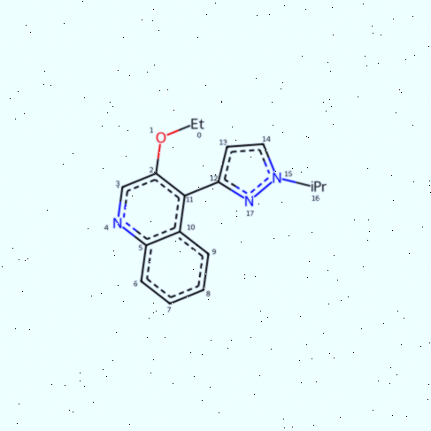 CCOc1[c]nc2ccccc2c1-c1ccn(C(C)C)n1